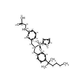 CCCCC(C)(C)c1ccc(CN(Cc2cccc(NCC(=O)O)n2)S(=O)(=O)c2ccco2)cc1